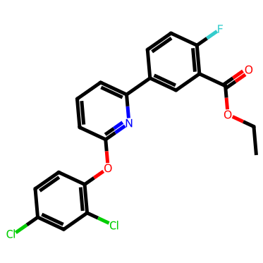 CCOC(=O)c1cc(-c2cccc(Oc3ccc(Cl)cc3Cl)n2)ccc1F